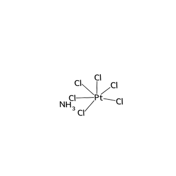 N.[Cl][Pt]([Cl])([Cl])([Cl])([Cl])[Cl]